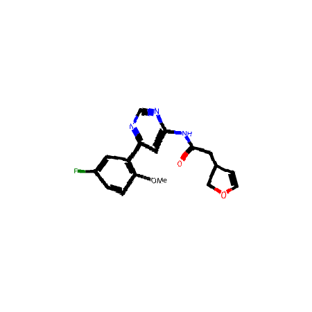 COc1ccc(F)cc1-c1cc(NC(=O)CC2C=COC2)ncn1